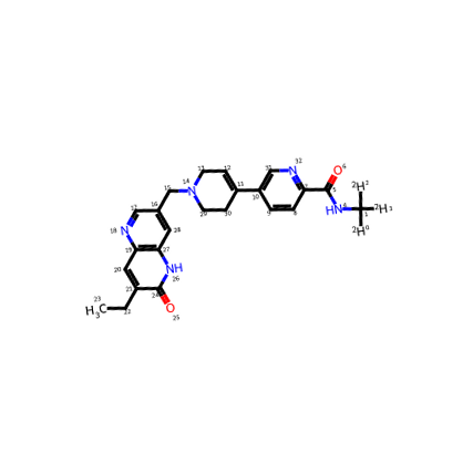 [2H]C([2H])([2H])NC(=O)c1ccc(C2=CCN(Cc3cnc4cc(CC)c(=O)[nH]c4c3)CC2)cn1